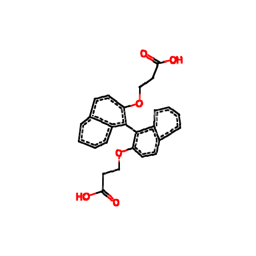 O=C(O)CCOc1ccc2ccccc2c1-c1c(OCCC(=O)O)ccc2ccccc12